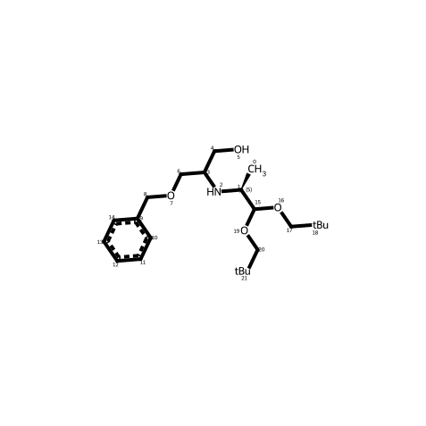 C[C@H](NC(CO)COCc1ccccc1)C(OCC(C)(C)C)OCC(C)(C)C